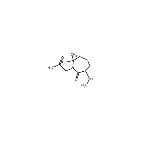 CNC1CSCC(C)(C)N(CC(C)=O)C1=O